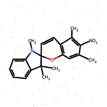 Cc1cc2c(c(C)c1[N+](=O)[O-])C=CC1(O2)N(C)c2ccccc2C1(C)C